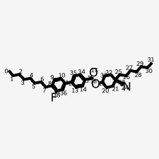 CCCCCCCCc1ccc(-c2ccc(C(=O)OC3CCC(C#N)(CCCCCCC)CC3)cc2)cc1F